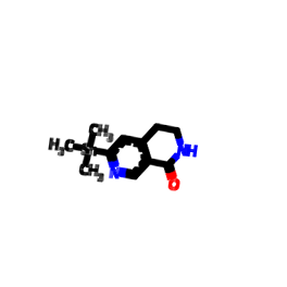 [CH3][Sn]([CH3])([CH3])[c]1cc2c(cn1)C(=O)NCC2